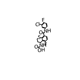 O=C(O)NC1CCSc2c(C(=O)Nc3ccc(F)c(Cl)c3)ccc(F)c21